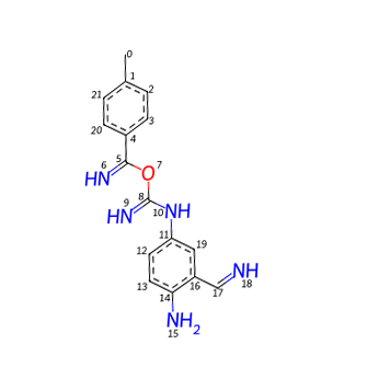 Cc1ccc(C(=N)OC(=N)Nc2ccc(N)c(C=N)c2)cc1